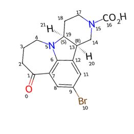 O=C1CCCN2c3c1cc(Br)cc3[C@@H]1CN(C(=O)O)CC[C@@H]12